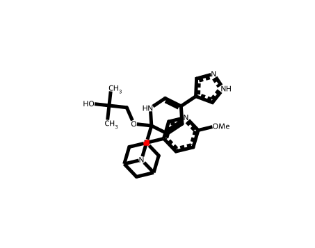 COc1ccc(CN2C3CC2CN(C2(OCC(C)(C)O)C=CC(c4cn[nH]c4)=CN2)C3)cn1